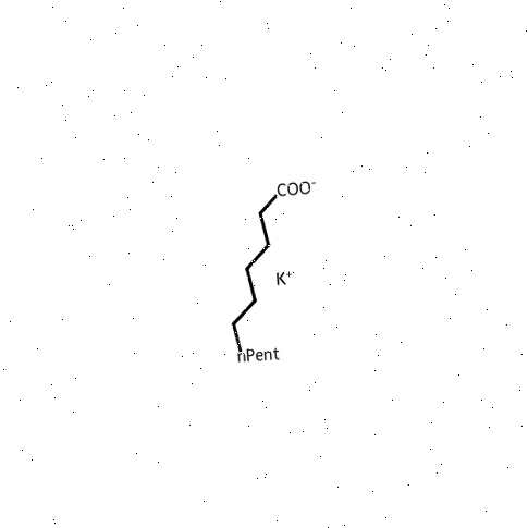 CCCCCCCCCCC(=O)[O-].[K+]